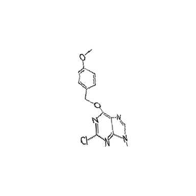 COc1ccc(COc2nc(Cl)nc3c2ncn3C)cc1